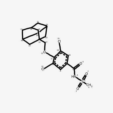 CS(=O)(=O)NC(=O)c1cc(Cl)c(OCC23CC4CC(CC(C4)C2)C3)c(Cl)c1